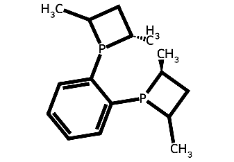 CC1C[C@H](C)P1c1ccccc1P1C(C)C[C@@H]1C